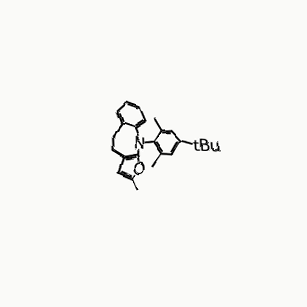 Cc1cc2c(o1)N(c1c(C)cc(C(C)(C)C)cc1C)c1ccccc1CC2